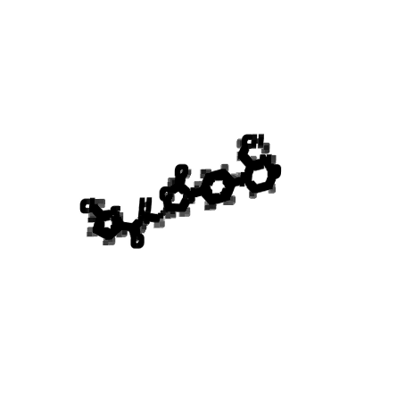 CCC1=NOCCN1c1ccc(N2C[C@H](CNC(=O)c3ccc(Cl)s3)OC2=O)cc1